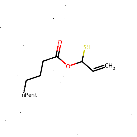 C=CC(S)OC(=O)CCCCCCCC